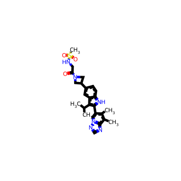 Cc1c(-c2[nH]c3ccc(C4CN(C(=O)CNS(C)(=O)=O)C4)cc3c2C(C)C)cn2ncnc2c1C